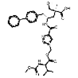 COC(=O)NC(C(=O)OCn1cc(C(=O)N[C@H](Cc2ccc(-c3ccccc3)cc2)C[C@@](C)(CO)C(=O)O)nn1)C(C)C